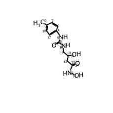 Cc1ccc(NC(=O)NCC(O)CC(=O)NO)cc1